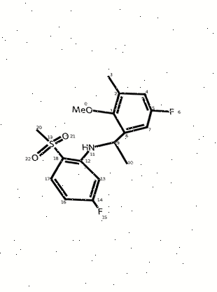 COc1c(C)cc(F)cc1C(C)Nc1cc(F)ccc1S(C)(=O)=O